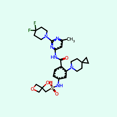 Cc1cc(NC(=O)c2ccc(NS(=O)(=O)CC3(O)COC3)cc2N2CCC3(CC2)CC3)nc(N2CCC(F)(F)CC2)n1